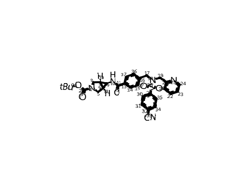 CC(C)(C)OC(=O)N1C[C@@H]2[C@H](C1)[C@H]2NC(=O)c1ccc(CN(Cc2ccccn2)S(=O)(=O)c2ccc(C#N)cc2)cc1